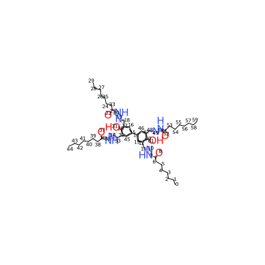 CCCCCCCC(=O)N/N=C/c1cc(-c2cc(/C=N/NC(=O)CCCCCCC)c(O)c(/C=N/NC(=O)CCCCCCC)c2)cc(/C=N/NC(=O)CCCCCCC)c1O